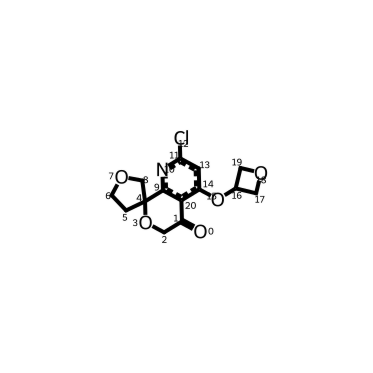 O=C1COC2(CCOC2)c2nc(Cl)cc(OC3COC3)c21